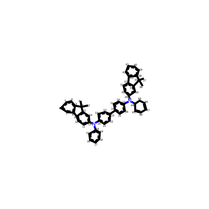 CC1(C)c2ccccc2-c2ccc(N(c3ccccc3)c3ccc(-c4ccc(N(c5ccc6c(c5)C(C)(C)c5ccccc5-6)C5C=CC=CC5)cc4)cc3)cc21